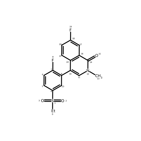 CCS(=O)(=O)c1ccc(F)c(-c2cn(C)c(=O)c3cc(F)ccc23)c1